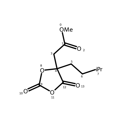 COC(=O)CC1(CCC(C)C)OC(=O)OC1=O